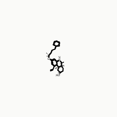 C=Cc1cc(O[C@H](C)CCCc2ccccc2)cc2c1[C@@H]1C[C@H](O)CC[C@H]1[C@H](C)N2